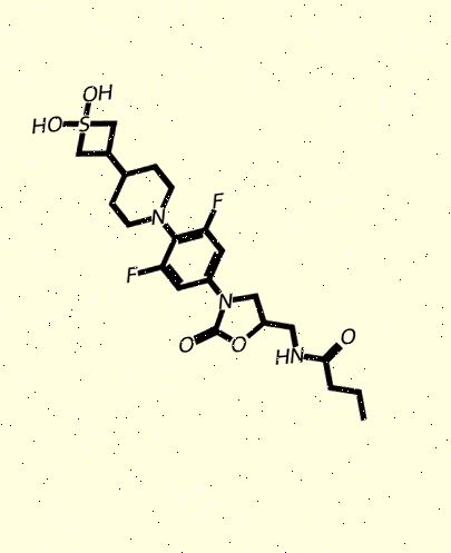 CCCC(=O)NCC1CN(c2cc(F)c(N3CCC(C4CS(O)(O)C4)CC3)c(F)c2)C(=O)O1